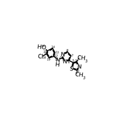 Cc1nc(C)c(-c2ccnc(Nc3ccc(O)c(Cl)c3)n2)s1